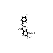 COc1c(C=O)[nH]cc(C(=O)NCc2ccc(F)cc2)c1=O